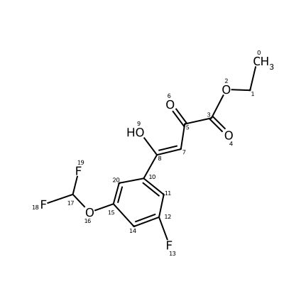 CCOC(=O)C(=O)/C=C(\O)c1cc(F)cc(OC(F)F)c1